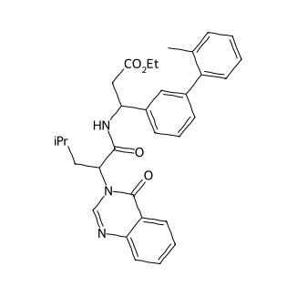 CCOC(=O)CC(NC(=O)C(CC(C)C)n1cnc2ccccc2c1=O)c1cccc(-c2ccccc2C)c1